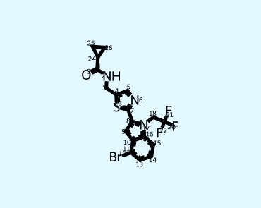 O=C(NCc1cnc(-c2cc3c(Br)cccc3n2CC(F)(F)F)s1)C1CC1